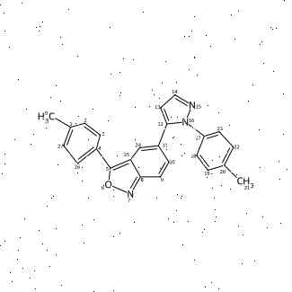 Cc1ccc(-c2onc3ccc(-c4ccnn4-c4ccc(C)cc4)cc23)cc1